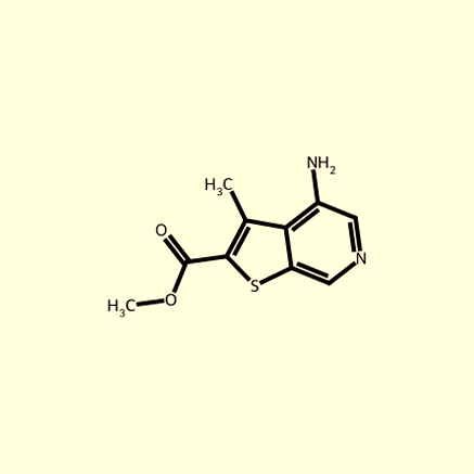 COC(=O)c1sc2cncc(N)c2c1C